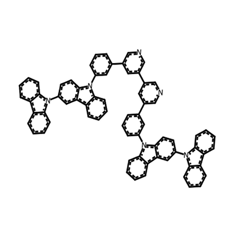 c1cc(-c2cncc(-c3cncc(-c4cccc(-n5c6ccccc6c6cc(-n7c8ccccc8c8ccccc87)ccc65)c4)c3)c2)cc(-n2c3ccccc3c3cc(-n4c5ccccc5c5ccccc54)ccc32)c1